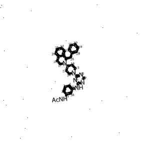 CC(=O)Nc1cccc(Nc2ncnc(N3CCC(N4CCc5ccccc5C4Cc4ccccc4)CC3)n2)c1